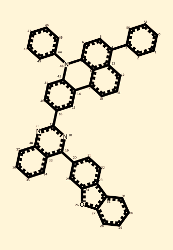 c1ccc(-c2ccc3c4c(cccc24)-c2cc(-c4nc(-c5ccc6c(c5)oc5ccccc56)c5ccccc5n4)ccc2N3c2ccccc2)cc1